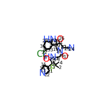 CC(C)(F)C[C@H](NC(=O)Cc1ccncc1)C(=O)N1C[C@]2(C[C@H]1C#N)C(=O)Nc1ccc(Cl)cc12